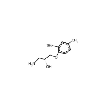 Cc1ccc(OC[C@H](O)CN)c(C(C)(C)C)c1